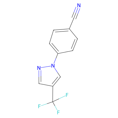 N#Cc1ccc(-n2cc(C(F)(F)F)cn2)cc1